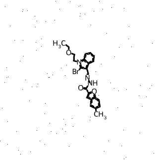 CCOCCn1c(Br)c(/C=N/NC(=O)c2cc3cc(C)ccc3o2)c2ccccc21